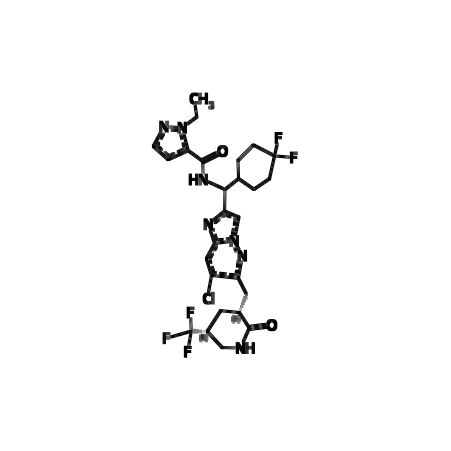 CCn1nccc1C(=O)NC(c1cn2nc(C[C@H]3C[C@@H](C(F)(F)F)CNC3=O)c(Cl)cc2n1)C1CCC(F)(F)CC1